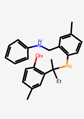 CCC(C)(Pc1ccc(C)cc1CNc1ccccc1)c1cc(C)ccc1O